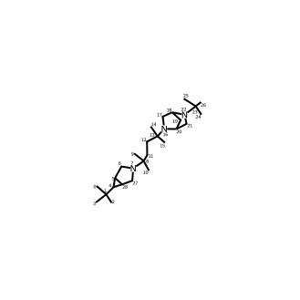 CC(C)(C)C1C2CN(C(C)(C)CCC(C)(C)N3CC4CC3CN4C(C)(C)C)CC21